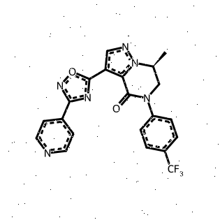 C[C@H]1CN(c2ccc(C(F)(F)F)cc2)C(=O)c2c(-c3nc(-c4ccncc4)no3)cnn21